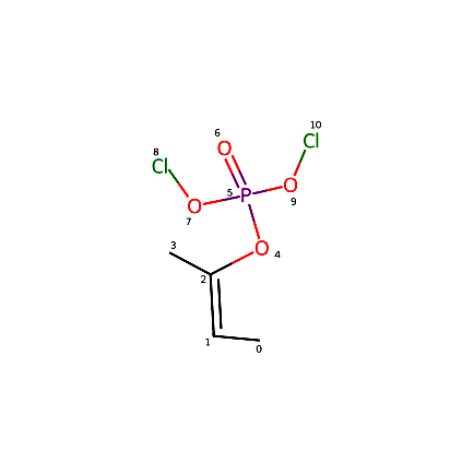 CC=C(C)OP(=O)(OCl)OCl